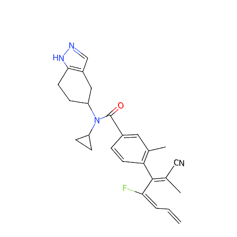 C=C/C=C(F)\C(=C(/C)C#N)c1ccc(C(=O)N(C2CC2)C2CCc3[nH]ncc3C2)cc1C